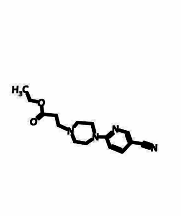 CCOC(=O)CCN1CCN(c2ccc(C#N)cn2)CC1